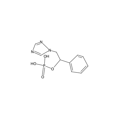 O=P(O)(O)OC(Cn1cncn1)c1ccccc1